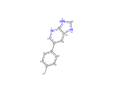 Cc1ccc(-c2cnc3[nH][c]nc3c2)cc1